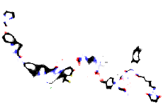 Cc1csc2c(OC(=O)N(C)CCN(C)C(=O)OCc3ccc(N(CC(N)=O)C(=O)[C@H](CC(C)C)NC(=O)[C@H](Cc4ccccc4)NC(=O)CCCCCN4C(=O)C=CC4=O)cc3)cc3c(c12)[C@H](CCl)CN3C(=O)c1cc2cc(NC(=O)c3cc4cc(OCCN5CCCC5)ccc4[nH]3)ccc2[nH]1